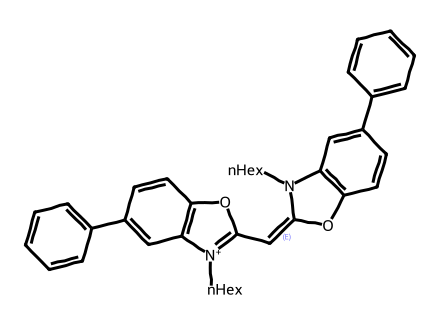 CCCCCCN1/C(=C\c2oc3ccc(-c4ccccc4)cc3[n+]2CCCCCC)Oc2ccc(-c3ccccc3)cc21